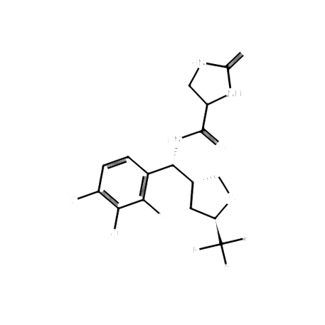 O=C1NCC(C(=O)N[C@@H](c2ccc(F)c(Cl)c2F)[C@@H]2CO[C@@H](C(F)(F)F)C2)N1